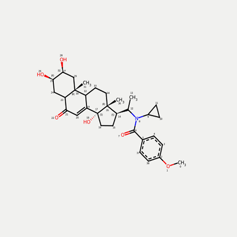 COc1ccc(C(=O)N(C2CC2)C(C)[C@H]2CC[C@@]3(O)C4=CC(=O)C5C[C@@H](O)[C@@H](O)C[C@]5(C)C4CC[C@]23C)cc1